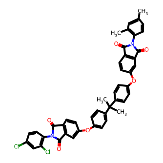 Cc1ccc(N2C(=O)c3ccc(Oc4ccc(C(C)(C)c5ccc(Oc6ccc7c(c6)C(=O)N(c6ccc(Cl)cc6Cl)C7=O)cc5)cc4)cc3C2=O)c(C)c1